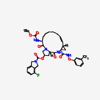 CC(C)(C)OC(=O)N[C@H]1CCCCC/C=C\[C@@H]2C[C@@]2(C(=O)NOc2cccc(C(F)(F)F)c2)NC(=O)[C@@H]2C[C@@H](OC(=O)N3Cc4cccc(F)c4C3)CN2C1=O